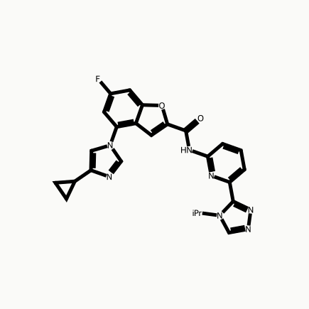 CC(C)n1cnnc1-c1cccc(NC(=O)c2cc3c(-n4cnc(C5CC5)c4)cc(F)cc3o2)n1